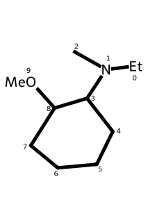 CCN(C)C1CCCCC1OC